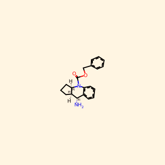 N[C@H]1c2ccccc2N(C(=O)OCc2ccccc2)[C@@H]2CCC[C@@H]21